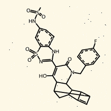 CS(=O)(=O)Nc1ccc2c(c1)S(=O)(=O)N=C(C1=C(O)C3C4CC5C6=CC4C6C5C3N(Cc3ccc(F)cc3)C1=O)N2